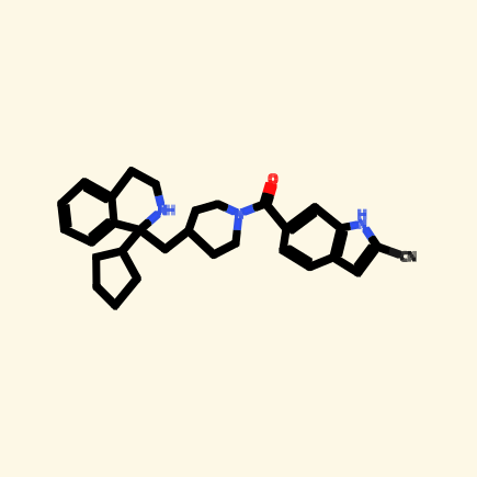 N#Cc1cc2ccc(C(=O)N3CCC(CC4(C5CCCC5)NCCc5ccccc54)CC3)cc2[nH]1